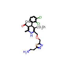 CCOC(=O)C1=C(COCc2nnc(CCN)s2)NC(C)=C(C(=O)OC)C1c1cccc(Cl)c1Cl